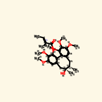 C/C=C(\C)C(=O)Oc1c(OC)c(OC)cc2c1-c1c(cc(OC)c(OC)c1OC)C[C@](C)(O)[C@@H](C)C2